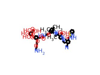 Cc1c(-c2ccc(N3CCc4c(C#N)ccc(C(=O)Nc5nc6ccccc6s5)c4C3)nc2C(=O)O)cnn1CC12CC3(C)CC(C)(C1)CC(OCCNC(=O)OCc1ccc(O[C@@H]4O[C@H](C(=O)O)[C@@H](O)[C@H](O)[C@H]4O)cc1OCCOCCN)(C3)C2